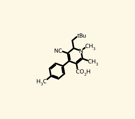 CC1=C(C(=O)O)C(c2ccc(C)cc2)=C(C#N)C(CC(C)(C)C)N1C